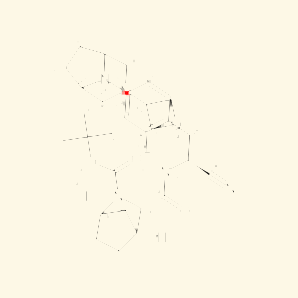 CC(C)(C)OC(=O)N1[C@@H]2CC[C@@H](C2)[C@H]1C(=O)N[C@H](C#N)Cc1ccc(N2C3CCC2CN(C2COC2)C3)cc1F